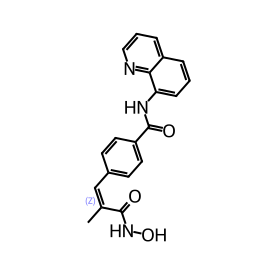 C/C(=C/c1ccc(C(=O)Nc2cccc3cccnc23)cc1)C(=O)NO